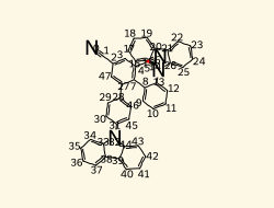 N#Cc1cc(C#N)c(-c2ccccc2-n2c3ccccc3c3ccccc32)c(-c2ccc(-n3c4ccccc4c4ccccc43)cc2)c1